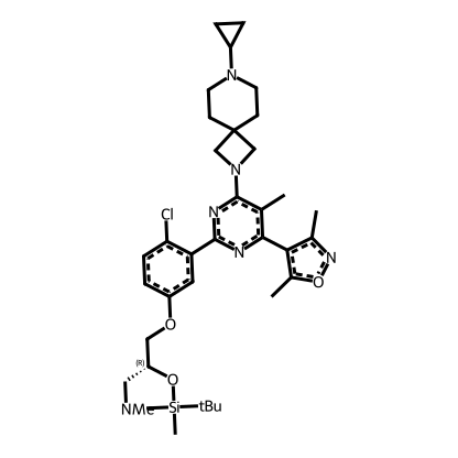 CNC[C@H](COc1ccc(Cl)c(-c2nc(-c3c(C)noc3C)c(C)c(N3CC4(CCN(C5CC5)CC4)C3)n2)c1)O[Si](C)(C)C(C)(C)C